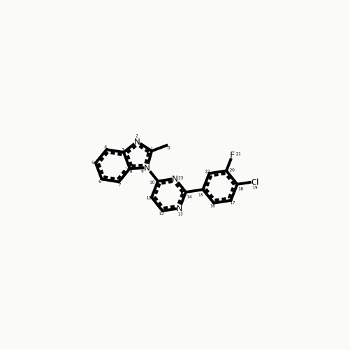 Cc1nc2ccccc2n1-c1ccnc(-c2ccc(Cl)c(F)c2)n1